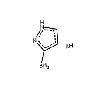 Bc1cc[nH]n1.[KH]